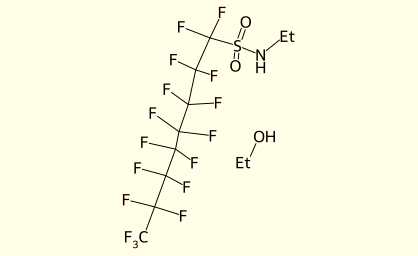 CCNS(=O)(=O)C(F)(F)C(F)(F)C(F)(F)C(F)(F)C(F)(F)C(F)(F)C(F)(F)C(F)(F)F.CCO